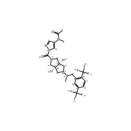 CC(=O)N(C)c1cnn(C(=O)N2C[C@H]3C[C@@H](N(C)Cc4cc(C(F)(F)F)ccc4C(F)(F)F)C[C@H]3C2)c1